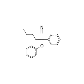 CCCCC(C#N)(Oc1ccccc1)c1ccccc1